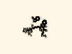 CCCOC(=O)C(Cc1ccccc1)N([AsH2])C(=O)CCCCNC(=O)OC(C)(C)C.O=C1OCc2ccccc21